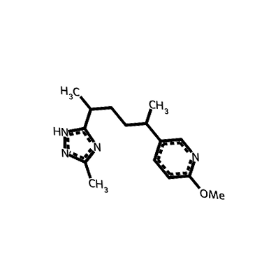 COc1ccc(C(C)CCC(C)c2nc(C)n[nH]2)cn1